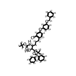 CC(C)(C)OC(=O)NC(CCCc1ccc(Oc2cccc(OCc3ccccc3)c2)cc1Cl)C(O)CO[Si](c1ccccc1)(c1ccccc1)C(C)(C)C